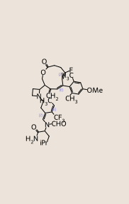 C=C1/C=C(c2c(C)cc(OC)cc2C)\C=C(/F)CCC(=O)OCC1C1CCN1CCC(=C/N(C=O)C(CC(C)C)C(N)=O)/C(=C\C)C(F)(F)F